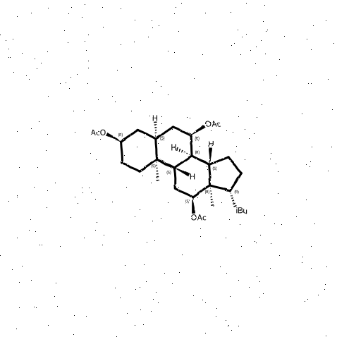 CCC(C)[C@H]1CC[C@H]2[C@@H]3[C@H](OC(C)=O)C[C@@H]4C[C@H](OC(C)=O)CC[C@]4(C)[C@H]3C[C@H](OC(C)=O)[C@]12C